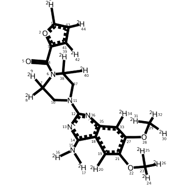 [2H]c1oc(C(=O)N2C([2H])([2H])CN(c3nc(N([2H])[2H])c4c([2H])c(OC([2H])([2H])[2H])c(OC([2H])([2H])[2H])c([2H])c4n3)CC2([2H])[2H])c([2H])c1[2H]